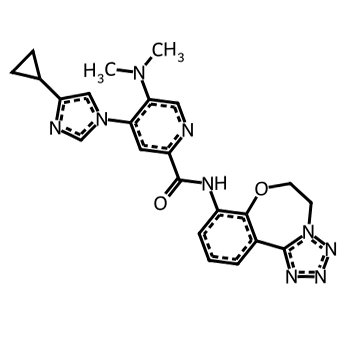 CN(C)c1cnc(C(=O)Nc2cccc3c2OCCn2nnnc2-3)cc1-n1cnc(C2CC2)c1